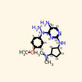 COc1ccc(N(N)c2nc(NC3CCC(N(C)C)C3)ncc2N)cc1